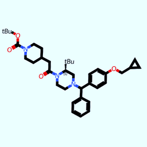 CC(C)(C)OC(=O)N1CCC(CC(=O)N2CCN(C(c3ccccc3)c3ccc(OCC4CC4)cc3)C[C@@H]2C(C)(C)C)CC1